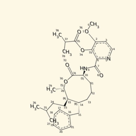 COc1ccnc(C(=O)N[C@H]2CCC[C@H](Cc3ccccc3)[C@@H](CCC(C)C)[C@H](C)OC2=O)c1OC(=O)C(C)C